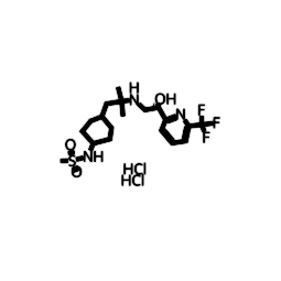 CC(C)(CC1CCC(NS(C)(=O)=O)CC1)NC[C@H](O)c1cccc(C(F)(F)F)n1.Cl.Cl